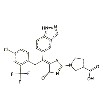 O=C1N=C(N2CCC(C(=O)O)C2)SC1=C(Cc1ccc(Cl)cc1C(F)(F)F)c1ccc2[nH]ncc2c1